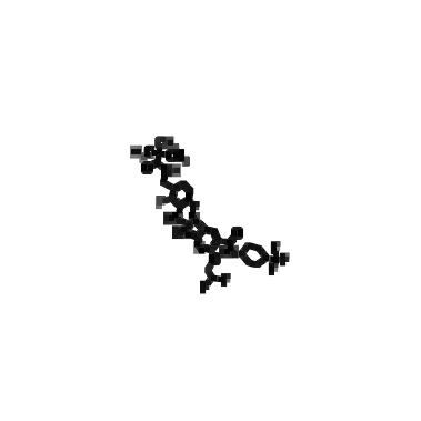 CC(C)(C)C(=O)NCc1ccc(F)c(Nc2nc3cc(C(=O)N[C@H]4CC[C@H](C(F)(F)F)CC4)c(OCC(F)F)nc3[nH]2)c1F